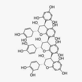 OC1=C(O)CC([C@H]2Oc3c(c(O)cc(O)c3[C@H]3c4c(O)cc(O)cc4O[C@H](C4C=CC(O)=C(O)C4)[C@@H]3O)[C@H](c3c(O)cc(O)c4c3O[C@H](C3C=CC(O)=C(O)C3)[C@H](O)[C@H]4c3c(O)cc(O)cc3O)[C@H]2O)C=C1